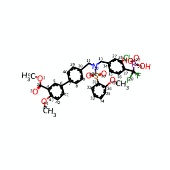 COC(=O)c1cc(-c2ccc(CN(Cc3ccc(C(F)(F)P(=O)(O)O)c(Cl)c3)S(=O)(=O)c3ccccc3OC)cc2)ccc1OC